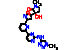 CN1CCC(O)(c2cc(-c3cccc(-c4ccnc(Nc5cn(C)nn5)n4)n3)no2)C1=O